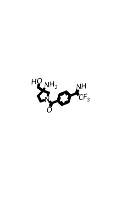 N=C(c1ccc(C(=O)N2CCC(N)(CO)C2)cc1)C(F)(F)F